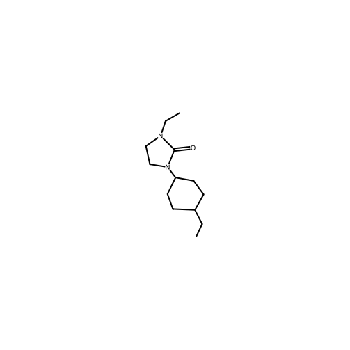 CCC1CCC(N2CCN(CC)C2=O)CC1